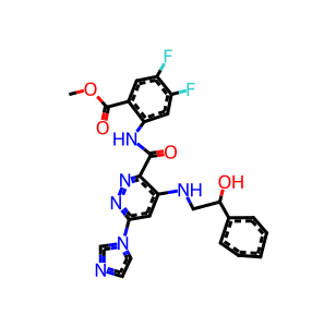 COC(=O)c1cc(F)c(F)cc1NC(=O)c1nnc(-n2ccnc2)cc1NCC(O)c1ccccc1